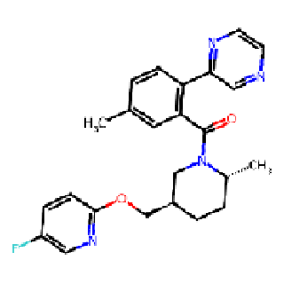 Cc1ccc(-c2cnccn2)c(C(=O)N2C[C@H](COc3ccc(F)cn3)CC[C@H]2C)c1